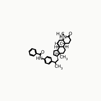 CC(C[C@H]1CC[C@H]2[C@@H]3CC[C@H]4N(C)C(=O)CC[C@]4(C)[C@H]3CC[C@]12C)c1ccc(NC(=O)c2ccccc2)cc1